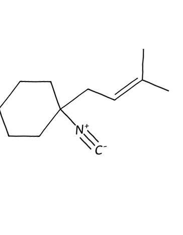 [C-]#[N+]C1(CC=C(C)C)CCCCC1